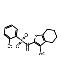 CCc1ccccc1S(=O)(=O)Nc1sc2c(c1C(C)=O)CCCC2